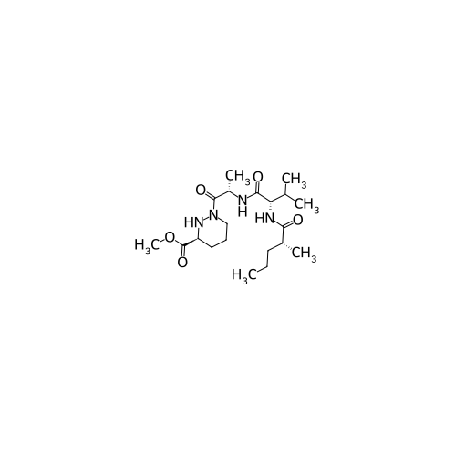 CCC[C@@H](C)C(=O)N[C@H](C(=O)N[C@@H](C)C(=O)N1CCC[C@@H](C(=O)OC)N1)C(C)C